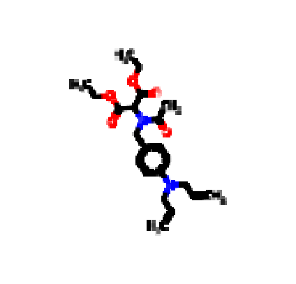 C=CCN(CC=C)c1ccc(CN(C(C)=O)C(C(=O)OCC)C(=O)OCC)cc1